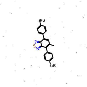 CCC(C)c1ccc(-c2cc(C)c(-c3ccc(C(C)(C)C)cc3)c3nsnc23)cc1